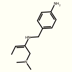 C/C=C(\CN(C)C)NCc1ccc(N)cc1